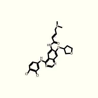 CN(C)C/C=C/C(=O)Nc1cc2c(Nc3ccc(Cl)c(Cl)c3)ncnc2cc1OC1CCOC1